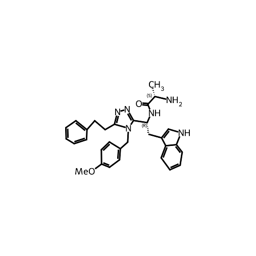 COc1ccc(Cn2c(CCc3ccccc3)nnc2[C@@H](Cc2c[nH]c3ccccc23)NC(=O)[C@H](C)N)cc1